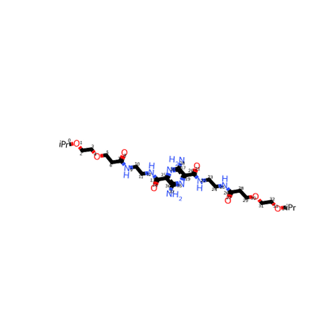 CC(C)OCCOCCC(=O)NCCNC(=O)c1nc(N)c(C(=O)NCCNC(=O)CCOCCOC(C)C)nc1N